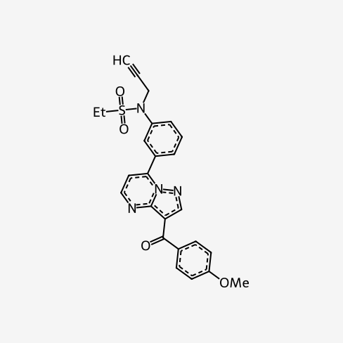 C#CCN(c1cccc(-c2ccnc3c(C(=O)c4ccc(OC)cc4)cnn23)c1)S(=O)(=O)CC